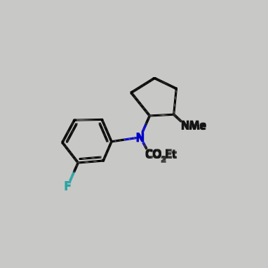 CCOC(=O)N(c1cccc(F)c1)C1CCCC1NC